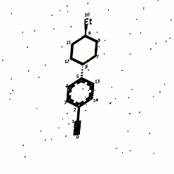 C#Cc1ccc([C@H]2CC[C@H](CC)CC2)cc1